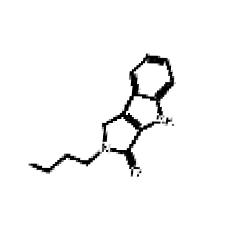 CCCCN1Cc2c([nH]c3ccccc23)C1=O